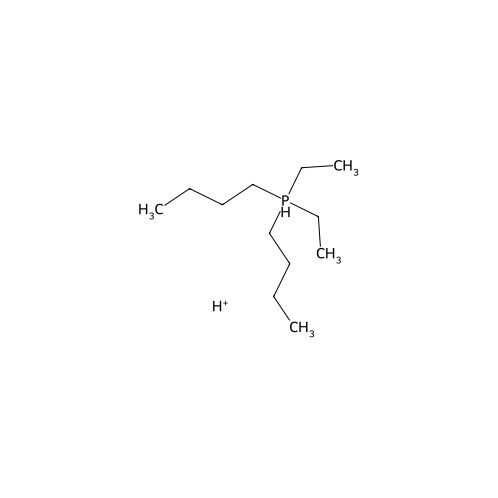 CCCC[PH](CC)(CC)CCCC.[H+]